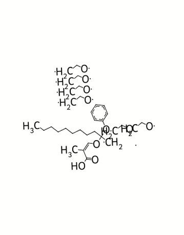 [CH2]C(CCCCCCCCC)(OC=C(C)C(=O)O)Oc1ccccc1.[CH2]C[O].[CH2]C[O].[CH2]C[O].[CH2]C[O].[CH2]C[O].[CH2]C[O]